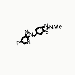 CNc1nc2ccc(Cn3cnc4cc(F)cnc43)cc2s1